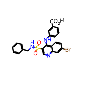 O=C(O)c1cccc(Nc2c(S(=O)(=O)NCc3ccccc3)cnc3cc(Br)ccc23)c1